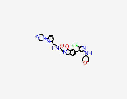 C[C@H](C(=O)NCCc1cccc(N2CCN(C)CC2)n1)N1Cc2ccc(-c3cc(NC4CCOCC4)ncc3Cl)cc2C1=O